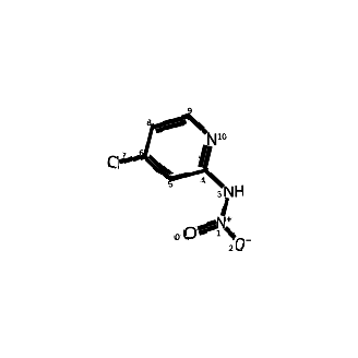 O=[N+]([O-])Nc1cc(Cl)ccn1